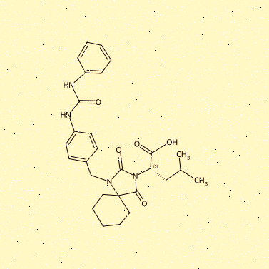 CC(C)C[C@@H](C(=O)O)N1C(=O)N(Cc2ccc(NC(=O)Nc3ccccc3)cc2)C2(CCCCC2)C1=O